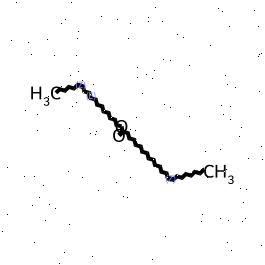 CCCCC/C=C\C/C=C/CCCCCCCCOC(=O)CCCCCCCCCCCCC/C=C\CCCCCCCC